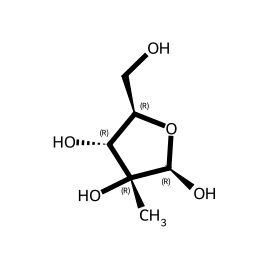 C[C@]1(O)[C@H](O)O[C@H](CO)[C@H]1O